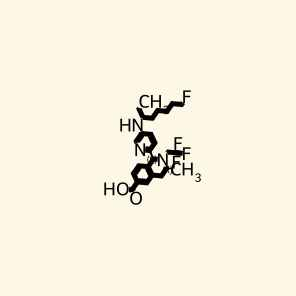 CCC(CCCCCF)Nc1ccc([C@@H]2c3ccc(C(=O)O)cc3C[C@@H](C)N2CC(F)(F)F)nc1